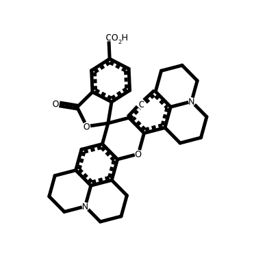 O=C(O)c1ccc2c(c1)C(=O)OC21c2cc3c4c(c2Oc2c1cc1c5c2CCCN5CCC1)CCCN4CCC3